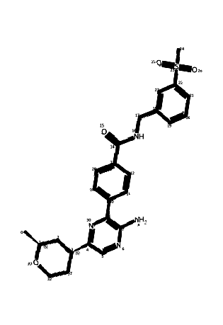 C[C@H]1C[C@@H](c2cnc(N)c(-c3ccc(C(=O)NCc4cccc(S(C)(=O)=O)c4)cc3)n2)CCO1